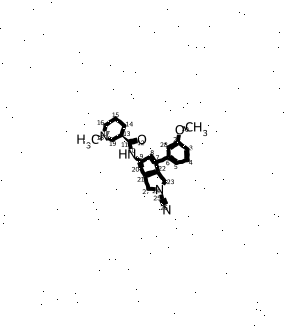 COc1cccc(-c2cc(NC(=O)[C@@H]3CCCN(C)C3)cc3c2CN(C#N)C3)c1